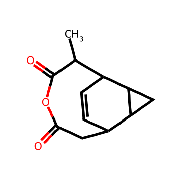 CC1C(=O)OC(=O)CC2C=CC1C1CC21